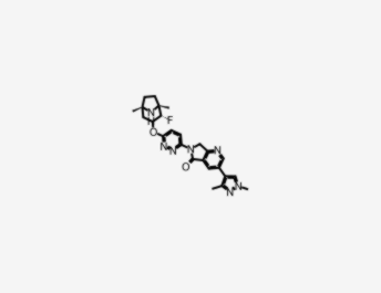 Cc1nn(C)cc1-c1cnc2c(c1)C(=O)N(c1ccc(OC3C[C@]4(C)CC[C@@](C)(N4)[C@@H]3F)nn1)C2